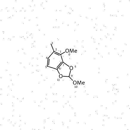 COc1c(C)ccc2c1OC(OC)O2